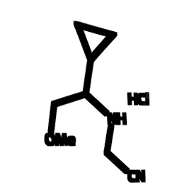 COCC(NCC#N)C1CC1.Cl